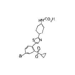 O=C(O)NC1CCC(c2ncc(-c3ccc(Br)cc3S(=O)(=O)C3CC3)s2)CC1